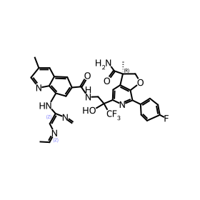 C=N/C(=C\N=C/C)Nc1cc(C(=O)NCC(O)(c2cc3c(c(-c4ccc(F)cc4)n2)OC[C@]3(C)C(N)=O)C(F)(F)F)cc2cc(C)cnc12